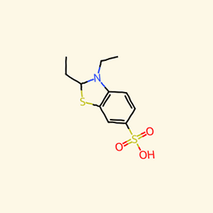 CCC1Sc2cc(S(=O)(=O)O)ccc2N1CC